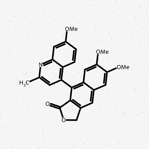 COc1ccc2c(-c3c4c(cc5cc(OC)c(OC)cc35)COC4=O)cc(C)nc2c1